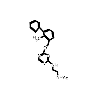 CC(=O)NCCNc1ncnc(OCc2cccc(-c3ccccc3)c2C)n1